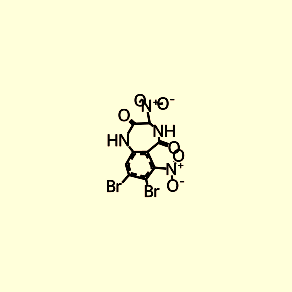 O=C1NC([N+](=O)[O-])C(=O)Nc2cc(Br)c(Br)c([N+](=O)[O-])c21